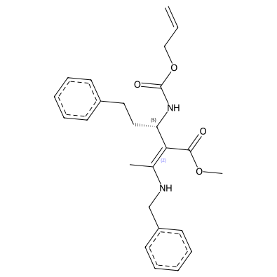 C=CCOC(=O)N[C@@H](CCc1ccccc1)/C(C(=O)OC)=C(\C)NCc1ccccc1